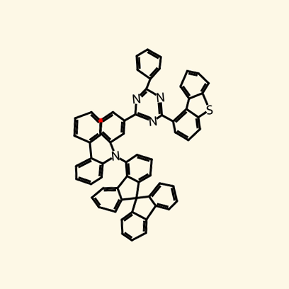 c1ccc(-c2nc(-c3cccc(N(c4ccccc4-c4ccccc4)c4cccc5c4-c4ccccc4C54c5ccccc5-c5ccccc54)c3)nc(-c3cccc4sc5ccccc5c34)n2)cc1